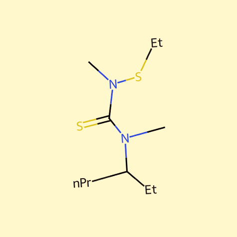 CCCC(CC)N(C)C(=S)N(C)SCC